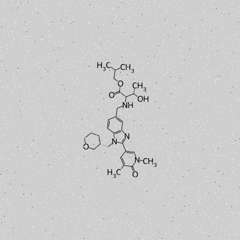 Cc1cc(-c2nc3cc(CNC(C(=O)OCC(C)C)C(C)O)ccc3n2C[C@H]2CCCOC2)cn(C)c1=O